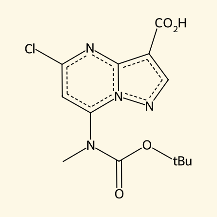 CN(C(=O)OC(C)(C)C)c1cc(Cl)nc2c(C(=O)O)cnn12